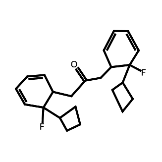 O=C(CC1C=CC=CC1(F)C1CCC1)CC1C=CC=CC1(F)C1CCC1